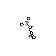 Cc1cc(Cc2ccc3c(c2)[nH]c2ccccc23)cc(-c2nc(-c3ccccc3)nc(-c3ccccc3)n2)c1